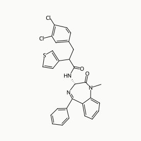 CN1C(=O)[C@@H](NC(=O)C(Cc2ccc(Cl)c(Cl)c2)c2ccsc2)N=C(c2ccccc2)c2ccccc21